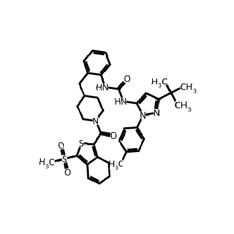 Cc1ccc(-n2nc(C(C)(C)C)cc2NC(=O)Nc2ccccc2CC2CCN(C(=O)c3sc(S(C)(=O)=O)c4c3CCC=C4)CC2)cc1